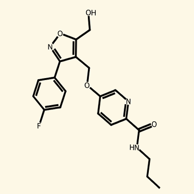 CCCNC(=O)c1ccc(OCc2c(-c3ccc(F)cc3)noc2CO)cn1